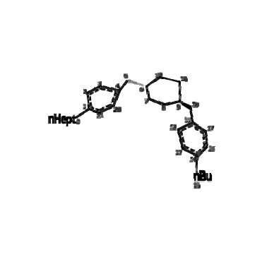 CCCCCCCc1ccc(C[C@H]2CC[C@H](Cc3ccc(CCCC)cc3)CC2)cc1